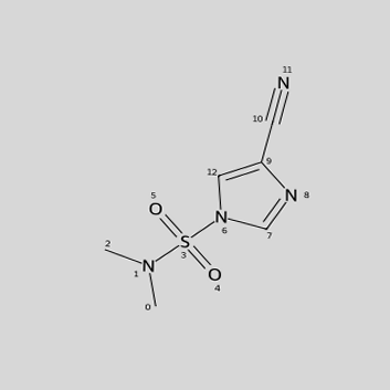 CN(C)S(=O)(=O)n1cnc(C#N)c1